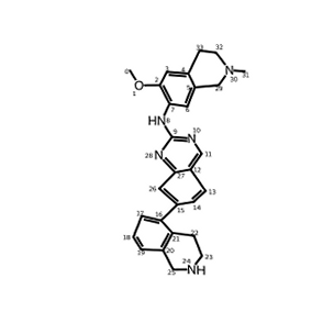 COc1cc2c(cc1Nc1ncc3ccc(-c4cccc5c4CCNC5)cc3n1)CN(C)CC2